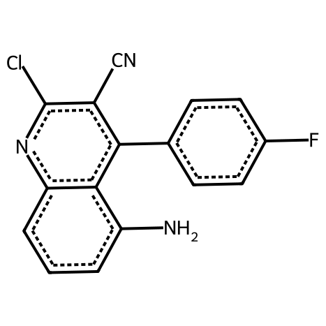 N#Cc1c(Cl)nc2cccc(N)c2c1-c1ccc(F)cc1